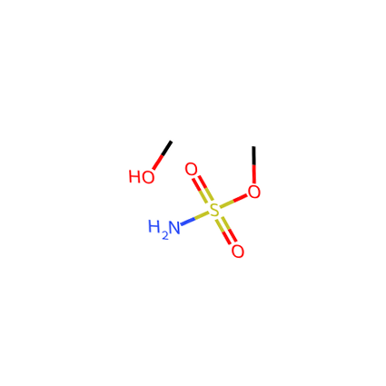 CO.COS(N)(=O)=O